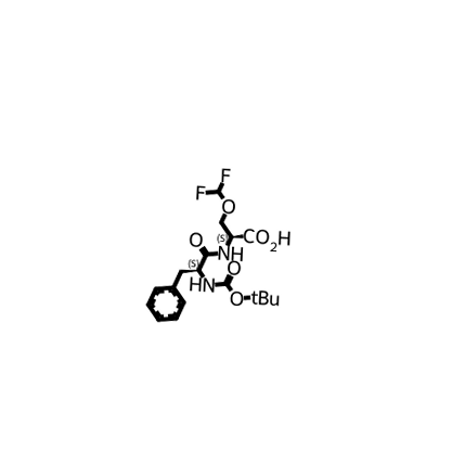 CC(C)(C)OC(=O)N[C@@H](Cc1ccccc1)C(=O)N[C@@H](COC(F)F)C(=O)O